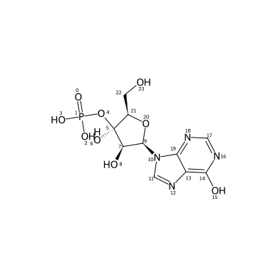 O=P(O)(O)O[C@]1(O)[C@H](O)[C@H](n2cnc3c(O)ncnc32)O[C@@H]1CO